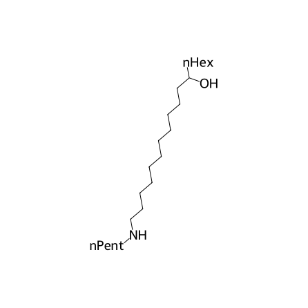 CCCCCCC(O)CCCCCCCCCCCNCCCCC